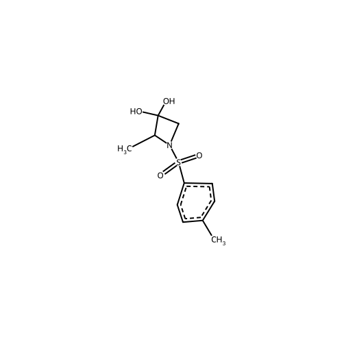 Cc1ccc(S(=O)(=O)N2CC(O)(O)C2C)cc1